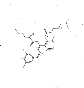 C=C(CCNCC(C)C)C/C(C(=C)C)=C(C(=C/C(C)=C\c1cc(F)c(C)c(F)c1)\CC(=C)C(=O)CCCC)/C(C)=N\C